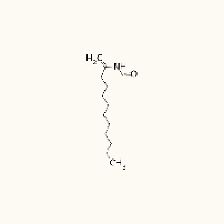 C=C(CCCCCCCCCC)NC=O